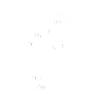 CCCS(=O)(=O)Nc1ccc(F)c(C(=O)c2c[nH]c3ncc(-c4ccc(N(C(=O)O)C(C)(C)C)cc4)cc23)c1F